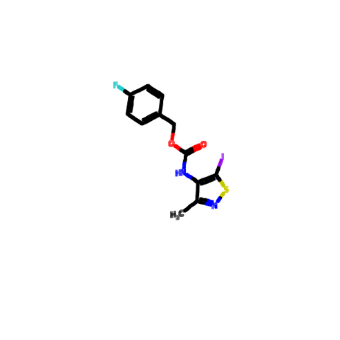 Cc1nsc(I)c1NC(=O)OCc1ccc(F)cc1